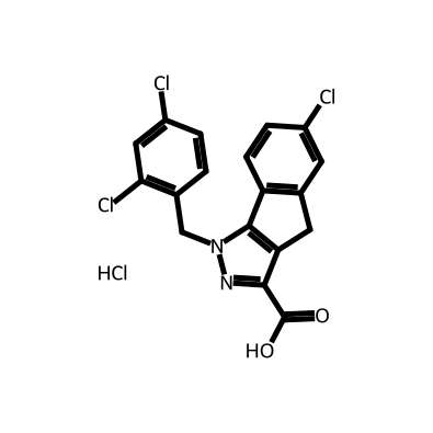 Cl.O=C(O)c1nn(Cc2ccc(Cl)cc2Cl)c2c1Cc1cc(Cl)ccc1-2